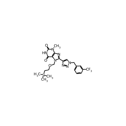 Cn1c(=O)[nH]c(=O)c2c1nc(-c1cn(Cc3cccc(C(F)(F)F)c3)nn1)n2COCC[Si](C)(C)C